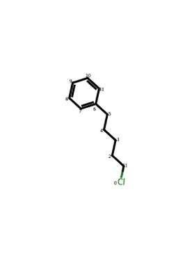 Cl[CH]CCCCc1ccccc1